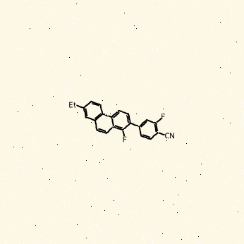 CCc1ccc2c(ccc3c(F)c(-c4ccc(C#N)c(F)c4)ccc32)c1